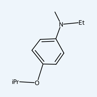 CCN(C)c1ccc(OC(C)C)cc1